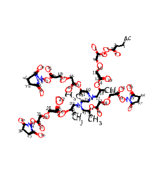 CC(=O)CCC(=O)OOC(=O)COCC(=O)OC(C)CN(CCN(CC(C)OC(=O)COCC(=O)ON1C(=O)CCC1=O)CC(C)OC(=O)COCC(=O)ON1C(=O)CCC1=O)CC(C)OC(=O)COCC(=O)ON1C(=O)CCC1=O